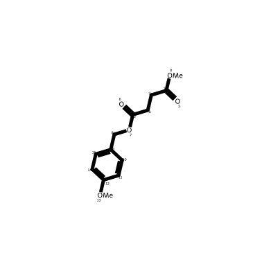 COC(=O)CCC(=O)OCc1ccc(OC)cc1